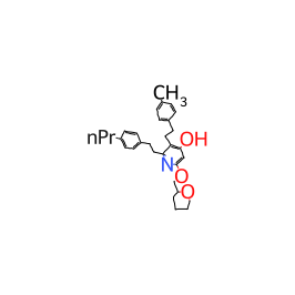 CCCc1ccc(CCc2nc(OCC3CCCCO3)cc(O)c2CCc2ccc(C)cc2)cc1